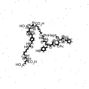 CCCCCCCOCN(C(=O)[C@@H](NC(=O)C1CCCCN1C)C(C)CC)[C@H](C[C@@H](OC(C)=O)c1nc(C(=O)N[C@@H](Cc2ccc(O)cc2)C[C@H](C)C(=O)NNC(=O)OCCSSC[C@H](NC(=O)[C@H](CC(=O)O)NC(=O)C(CC(=O)O)NC(=O)Cc2ccc(CNC(=O)NCCCC[C@@H](C)NC(=O)N[C@@H](CCC(=O)O)C(=O)O)cc2)C(=O)O)cs1)C(C)C